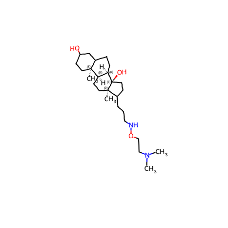 CN(C)CCONCCCC1CC[C@@]2(O)[C@@H]3CCC4CC(O)CC[C@]4(C)[C@@H]3CC[C@]12C